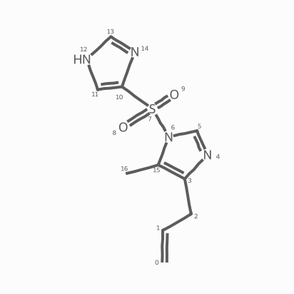 C=CCc1ncn(S(=O)(=O)c2c[nH]cn2)c1C